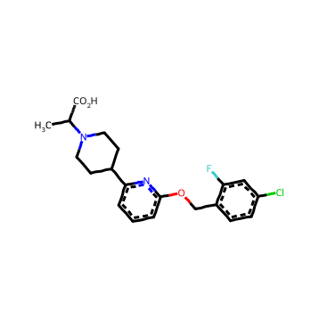 CC(C(=O)O)N1CCC(c2cccc(OCc3ccc(Cl)cc3F)n2)CC1